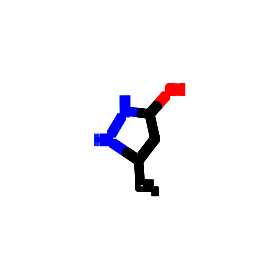 CC1CC(O)NN1